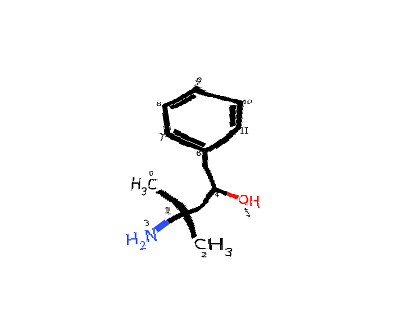 CC(C)(N)C(O)c1ccccc1